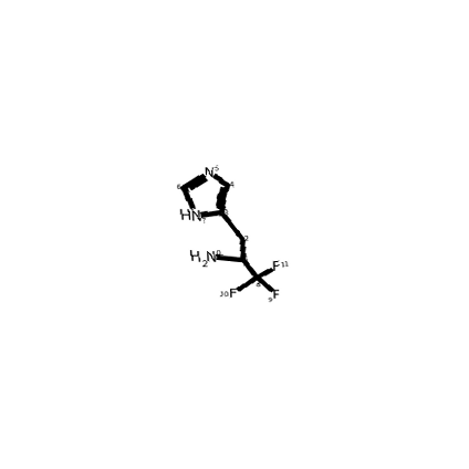 NC(Cc1cnc[nH]1)C(F)(F)F